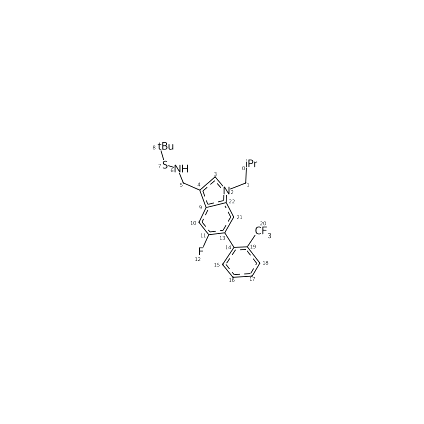 CC(C)Cn1cc(CNSC(C)(C)C)c2cc(F)c(-c3ccccc3C(F)(F)F)cc21